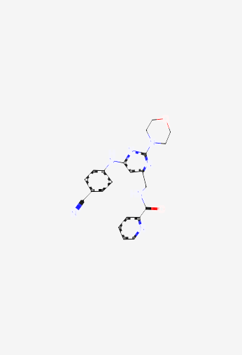 N#Cc1ccc(Nc2cc(CNC(=O)c3ccccn3)nc(N3CCOCC3)n2)cc1